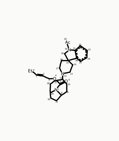 CCC=CCOC(=O)N1C2CCC(N3CCC4(CC3)CN(C(C)=O)c3ccccc34)CCC1CC2